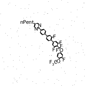 CCCCCc1cnc(-c2ccc(-c3ccc(-c4cc(F)c(C(F)(F)Oc5ccc(OC(F)(F)F)c(F)c5)c(F)c4)c(F)c3)cc2)nc1